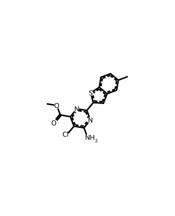 COC(=O)c1nc(-c2cc3cc(C)ccc3s2)nc(N)c1Cl